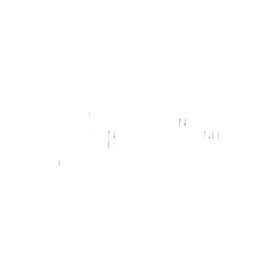 CCCC#CC(=O)Nc1cccc([C@]2(C)CCSC(N)=N2)c1